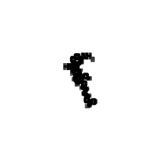 COc1c(OCCCCOC(C)=O)ccc2c1CN1C(=N2)NC(=O)C1CC(N)=O